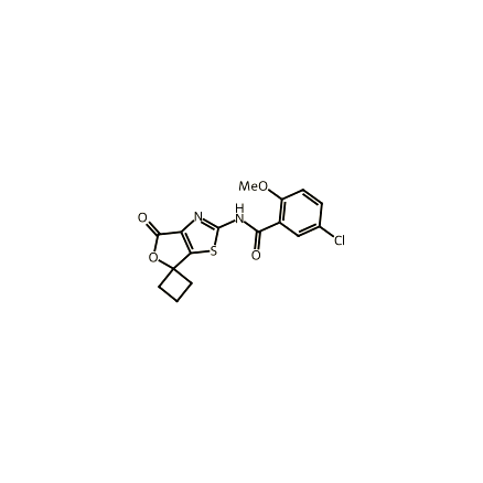 COc1ccc(Cl)cc1C(=O)Nc1nc2c(s1)C1(CCC1)OC2=O